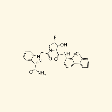 NC(=O)c1nn(CC(=O)N2C[C@H](F)[C@@H](O)[C@H]2C(=O)Nc2cccc(-c3ccccc3Cl)c2F)c2ccccc12